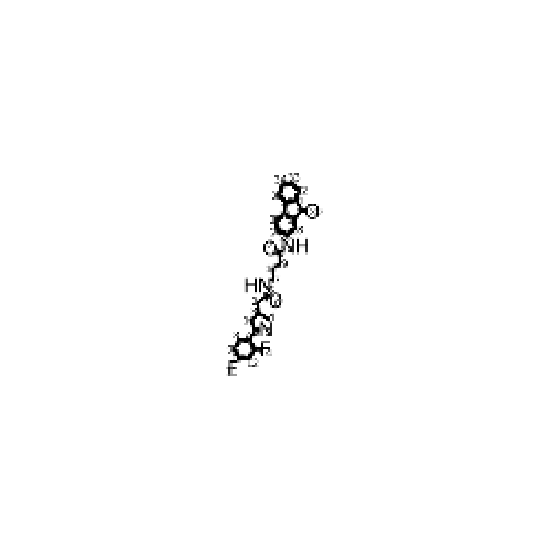 O=C(CC1CN=C(c2ccc(F)cc2F)C1)NCCCC(=O)Nc1ccc2c(c1)C(=O)c1ccccc1-2